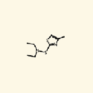 CCN(CC)Sc1nc(C)cs1